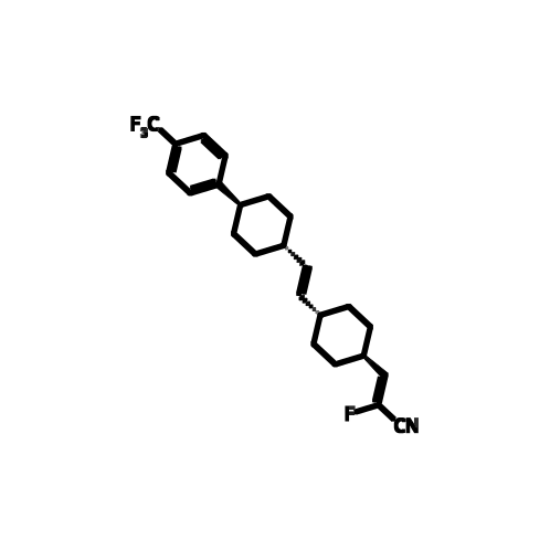 N#CC(F)=C[C@H]1CC[C@H](C=C[C@H]2CC[C@H](c3ccc(C(F)(F)F)cc3)CC2)CC1